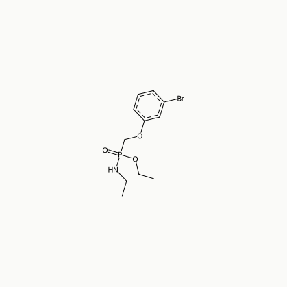 CCNP(=O)(COc1cccc(Br)c1)OCC